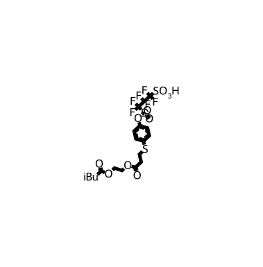 CCC(C)C(=O)OCCOC(=O)CCSc1ccc(OS(=O)(=O)C(F)(F)C(F)(F)C(F)(F)S(=O)(=O)O)cc1